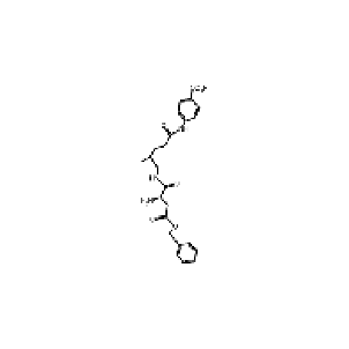 CC(CCC(=O)Nc1ccc(C(=O)O)cc1)CNC(=O)[C@H](N)CC(=O)OCc1ccccc1